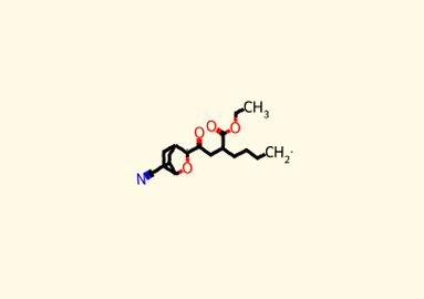 [CH2]CCCC(CC(=O)[C]1OC2CCC1CC2C#N)C(=O)OCC